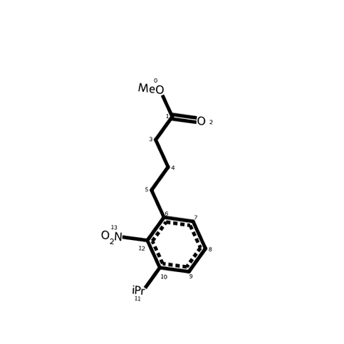 COC(=O)CCCc1cccc(C(C)C)c1[N+](=O)[O-]